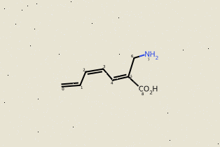 C=C/C=C\C=C(/CN)C(=O)O